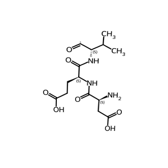 CC(C)[C@@H]([C]=O)NC(=O)[C@H](CCC(=O)O)NC(=O)[C@@H](N)CC(=O)O